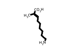 CC(=CCCCCCCN)C(=O)O